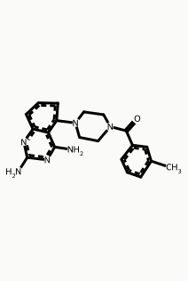 Cc1cccc(C(=O)N2CCN(c3cccc4nc(N)nc(N)c34)CC2)c1